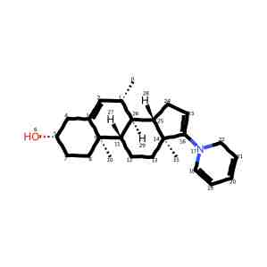 C[C@H]1C=C2C[C@@H](O)CC[C@]2(C)[C@H]2CC[C@]3(C)C(N4C=CC=CC4)=CC[C@H]3[C@H]12